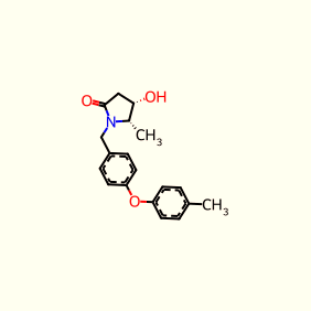 Cc1ccc(Oc2ccc(CN3C(=O)C[C@H](O)[C@@H]3C)cc2)cc1